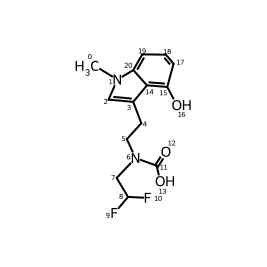 Cn1cc(CCN(CC(F)F)C(=O)O)c2c(O)cccc21